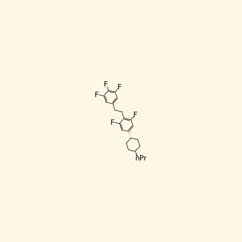 CCC[C@H]1CC[C@H](c2cc(F)c(CCc3cc(F)c(F)c(F)c3)c(F)c2)CC1